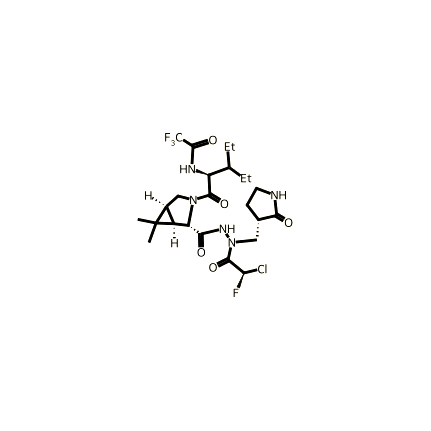 CCC(CC)[C@H](NC(=O)C(F)(F)F)C(=O)N1C[C@H]2[C@@H]([C@H]1C(=O)NN(C[C@@H]1CCNC1=O)C(=O)[C@H](F)Cl)C2(C)C